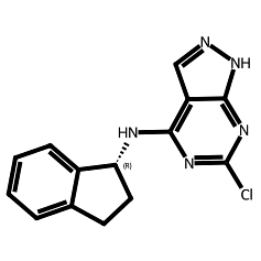 Clc1nc(N[C@@H]2CCc3ccccc32)c2cn[nH]c2n1